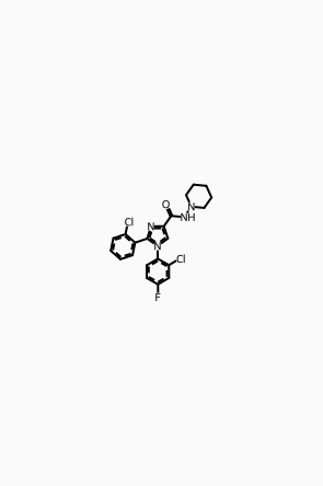 O=C(NN1CCCCC1)c1cn(-c2ccc(F)cc2Cl)c(-c2ccccc2Cl)n1